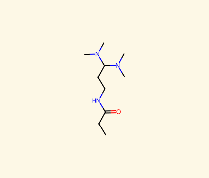 CCC(=O)NCCC(N(C)C)N(C)C